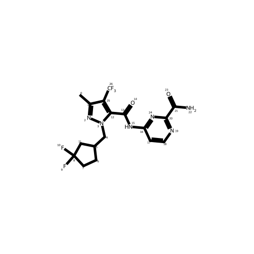 Cc1nn(CC2CCC(F)(F)C2)c(C(=O)Nc2ccnc(C(N)=O)n2)c1C(F)(F)F